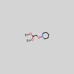 CCOC(CON1CCCCC1)OCC